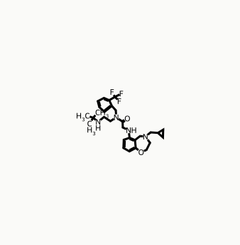 CC(C)(C)NCCN(Cc1ccccc1C(F)(F)F)C(=O)CNc1cccc2c1CN(CC1CC1)CCO2